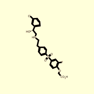 O=C(O)COc1ccc(S(=O)(=O)c2ccc(CCNC[C@H](O)c3cccc(Cl)c3)cc2)cc1F